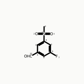 CS(=O)(=O)c1cc(F)cc(C=O)c1